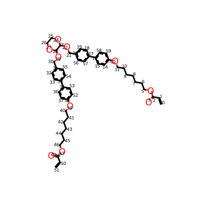 C=CC(=O)OCCCCCCCOc1ccc(-c2ccc(COC3OCCOC3OCc3ccc(-c4ccc(OCCCCCCCOC(=O)C=C)cc4)cc3)cc2)cc1